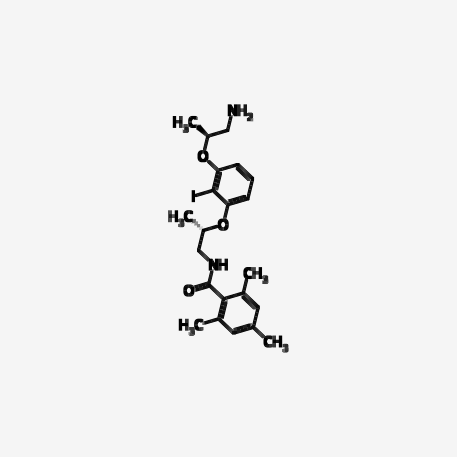 Cc1cc(C)c(C(=O)NC[C@H](C)Oc2cccc(O[C@@H](C)CN)c2I)c(C)c1